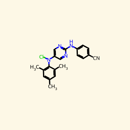 Cc1cc(C)c(N(Cl)c2cnc(Nc3ccc(C#N)cc3)nc2)c(C)c1